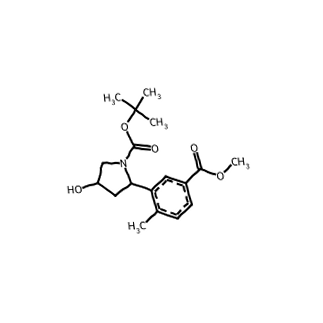 COC(=O)c1ccc(C)c(C2CC(O)CN2C(=O)OC(C)(C)C)c1